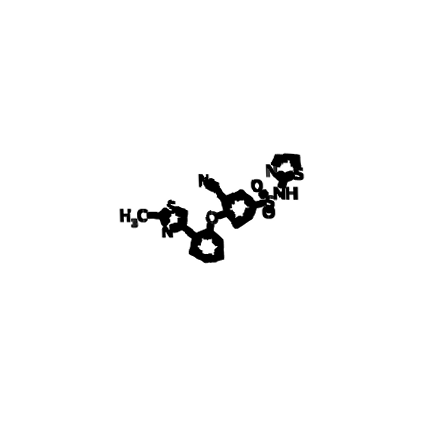 Cc1nc(-c2ccccc2Oc2ccc(S(=O)(=O)Nc3nccs3)cc2C#N)cs1